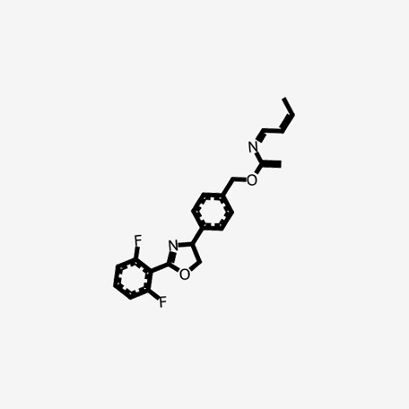 C=C(/N=C\C=C/C)OCc1ccc(C2COC(c3c(F)cccc3F)=N2)cc1